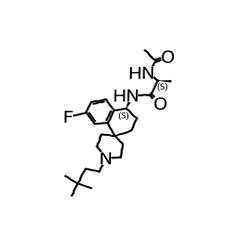 CC(=O)N[C@@H](C)C(=O)N[C@H]1CCC2(CCN(CCC(C)(C)C)CC2)c2cc(F)ccc21